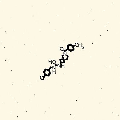 Cc1ccc(C(=O)N2CC[C@]3(C2)C[C@@H](NC(O)NCc2ccc(Cl)cc2)C3)cc1